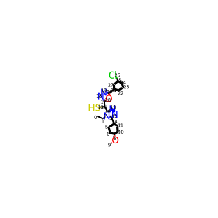 CCn1c(-c2ccc(OC)cc2)nnc1C(S)c1nnc(-c2cccc(Cl)c2)o1